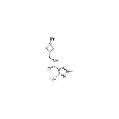 CC(C)N1CC(CNC(=O)c2cn(C)nc2C(F)(F)F)C1